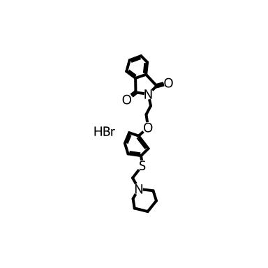 Br.O=C1c2ccccc2C(=O)N1CCOc1cccc(SCN2CCCCC2)c1